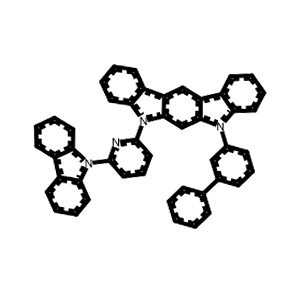 c1ccc(-c2cccc(-n3c4ccccc4c4cc5c6ccccc6n(-c6cccc(-n7c8ccccc8c8ccccc87)n6)c5cc43)c2)cc1